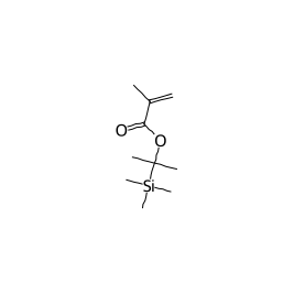 C=C(C)C(=O)OC(C)(C)[Si](C)(C)C